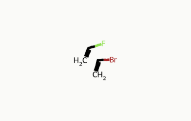 C=CBr.C=CF